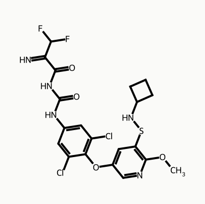 COc1ncc(Oc2c(Cl)cc(NC(=O)NC(=O)C(=N)C(F)F)cc2Cl)cc1SNC1CCC1